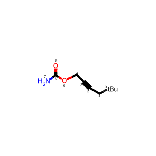 CC(C)(C)CC#CCOC(N)=O